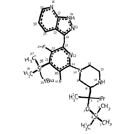 CC(C)C(C)(O[Si](C)(C)C)C1CN(c2nc(-c3n[nH]c4ncccc34)c(F)c([Si](C)(C)C(C)(C)C)c2F)CCN1